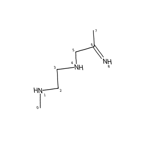 CNCCNCC(C)=N